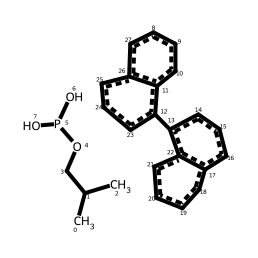 CC(C)COP(O)O.c1ccc2c(-c3cccc4ccccc34)cccc2c1